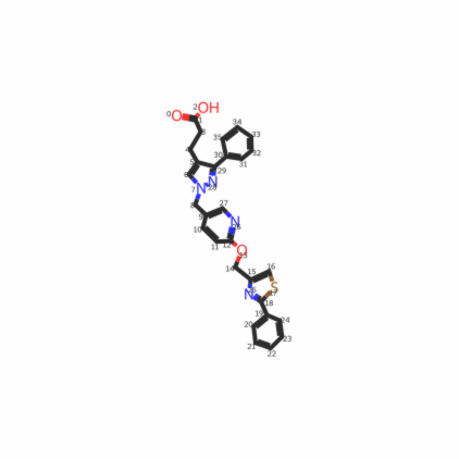 O=C(O)CCc1cn(Cc2ccc(OCc3csc(-c4ccccc4)n3)nc2)nc1-c1ccccc1